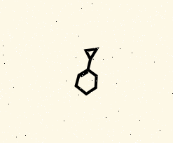 C1=C([C]2CC2)CCCC1